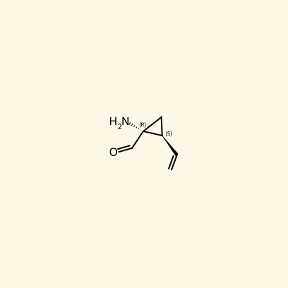 C=C[C@@H]1C[C@]1(N)C=O